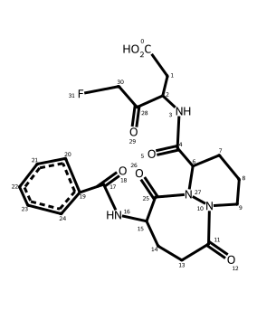 O=C(O)CC(NC(=O)C1CCCN2C(=O)CCC(NC(=O)c3ccccc3)C(=O)N12)C(=O)CF